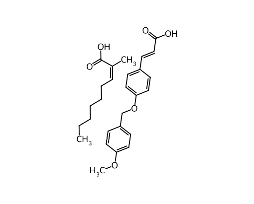 CCCCCCC=C(C)C(=O)O.COc1ccc(COc2ccc(C=CC(=O)O)cc2)cc1